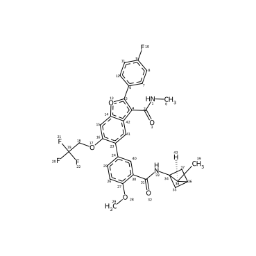 CNC(=O)c1c(-c2ccc(F)cc2)oc2cc(OCC(F)(F)F)c(-c3ccc(OC)c(C(=O)NC45CC(C4)[C@@H]5C)c3)cc12